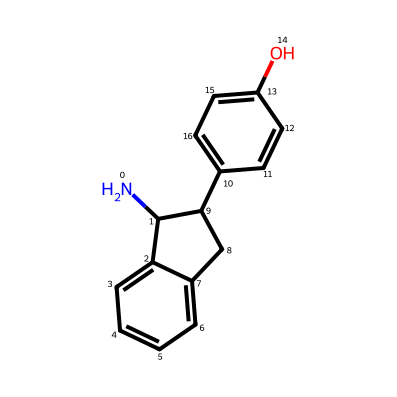 NC1c2ccccc2CC1c1ccc(O)cc1